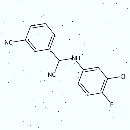 N#Cc1cccc(C(C#N)Nc2ccc(F)c(Cl)c2)c1